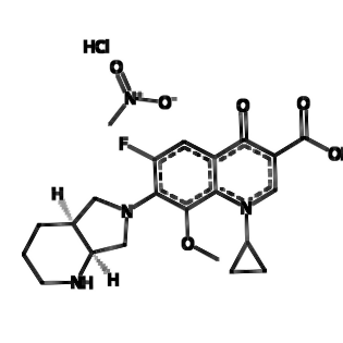 COc1c(N2C[C@@H]3CCCN[C@@H]3C2)c(F)cc2c(=O)c(C(=O)O)cn(C3CC3)c12.C[N+](=O)[O-].Cl